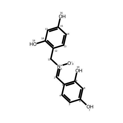 [O-][N+](=Cc1ccc(O)cc1O)Cc1ccc(O)cc1O